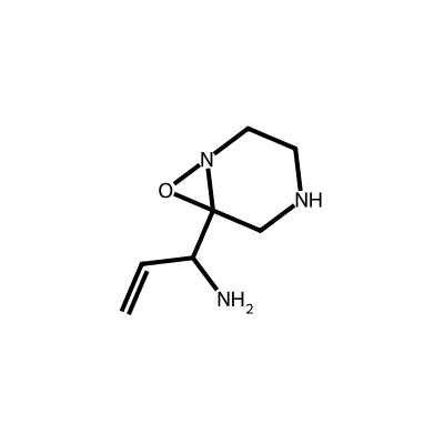 C=CC(N)C12CNCCN1O2